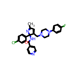 CC1=NC(NC(=O)c2ccncc2)(c2ccc(Cl)cc2)C(CN2CCN(c3ccc(F)cc3)CC2)=C1